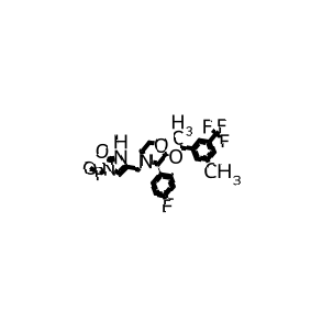 Cc1cc([C@@H](C)O[C@H]2OCCN(Cc3cn(P=O)c(=O)[nH]3)[C@H]2c2ccc(F)cc2)cc(C(F)(F)F)c1